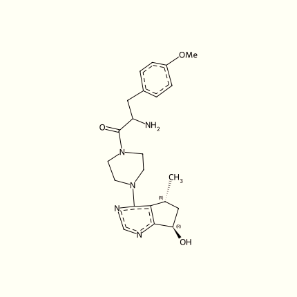 COc1ccc(CC(N)C(=O)N2CCN(c3ncnc4c3[C@H](C)C[C@H]4O)CC2)cc1